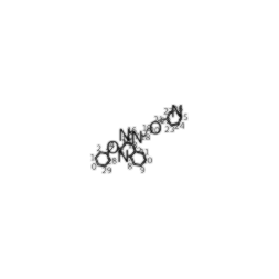 c1ccc(Oc2nc3ccccc3c3c2ncn3CCOCc2cccnc2)cc1